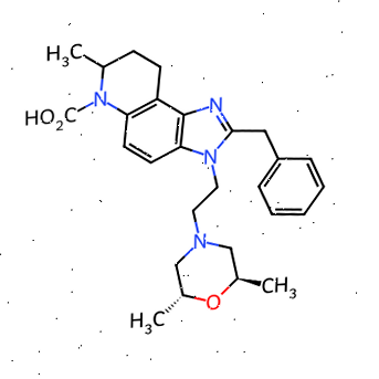 CC1CCc2c(ccc3c2nc(Cc2ccccc2)n3CCN2C[C@@H](C)O[C@H](C)C2)N1C(=O)O